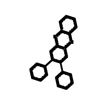 c1ccc(-c2cc3nc4ccccc4nc3cc2-c2ccccc2)cc1